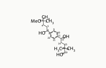 COC(C)(C)CCC(O)c1ccc(C(O)CCC(C)(C)CO)cc1